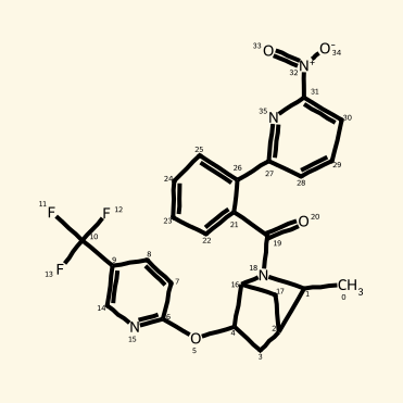 CC1C2CC(Oc3ccc(C(F)(F)F)cn3)C(C2)N1C(=O)c1ccccc1-c1cccc([N+](=O)[O-])n1